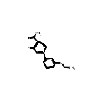 CCOc1cccc(-c2ccc(C(C)=O)c(F)c2)c1